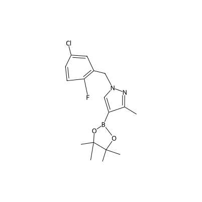 Cc1nn(Cc2cc(Cl)ccc2F)cc1B1OC(C)(C)C(C)(C)O1